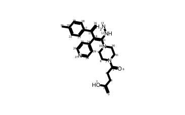 C=C(O)CCC(=O)N1CCN(/C(NN)=C(/C(=C)c2ccc(C)cc2)c2ccncc2)CC1